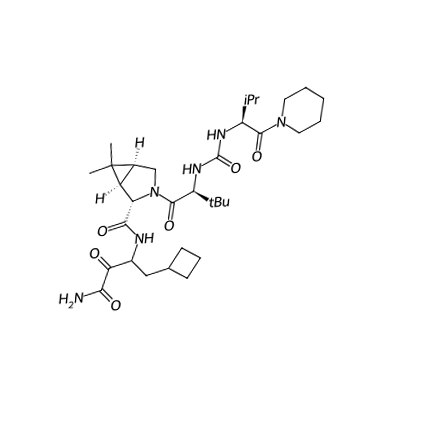 CC(C)[C@H](NC(=O)N[C@H](C(=O)N1C[C@H]2[C@@H]([C@H]1C(=O)NC(CC1CCC1)C(=O)C(N)=O)C2(C)C)C(C)(C)C)C(=O)N1CCCCC1